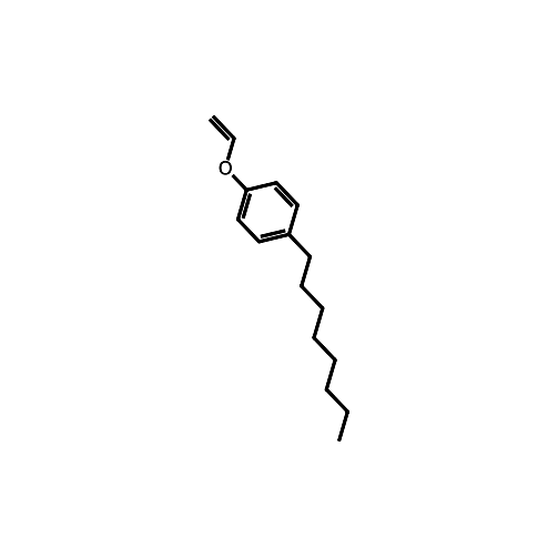 C=COc1ccc(CCCCCCCC)cc1